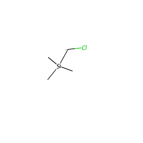 C[Si](C)(C)[CH]Cl